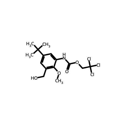 COc1c(CO)cc(C(C)(C)C)cc1NC(=O)OCC(Cl)(Cl)Cl